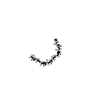 Cn1cc(NC(=O)c2nc(NC(=O)CCNC(=O)c3cc(NC(=O)c4nc(NC(=O)OC(C)(C)C)cn4C)cn3C)cn2C)cc1C(=O)NCCC(=O)Nc1cn(C)c(C(=O)O)n1